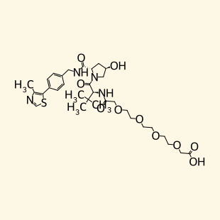 Cc1ncsc1-c1ccc(CNC(=O)[C@@H]2C[C@@H](O)CN2C(=O)[C@@H](NC(=O)COCCOCCOCCOCC(=O)O)C(C)(C)C)cc1